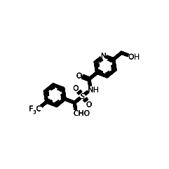 O=CC(c1cccc(C(F)(F)F)c1)S(=O)(=O)NC(=O)c1ccc(CO)nc1